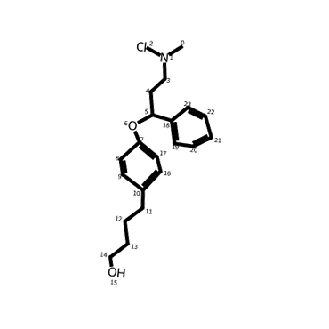 CN(Cl)CCC(Oc1ccc(CCCCO)cc1)c1ccccc1